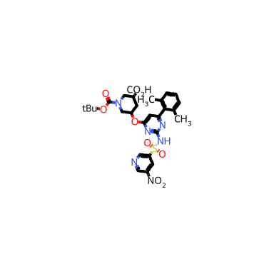 Cc1cccc(C)c1-c1cc(OC2CC(C(=O)O)CN(C(=O)OC(C)(C)C)C2)nc(NS(=O)(=O)c2cncc([N+](=O)[O-])c2)n1